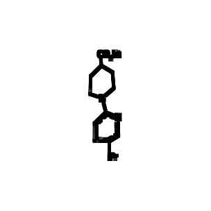 CCOC(=O)C1CCN(c2ccc(C(C)C)cn2)CC1